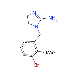 COc1c(Br)cccc1CN1CCN=C1N